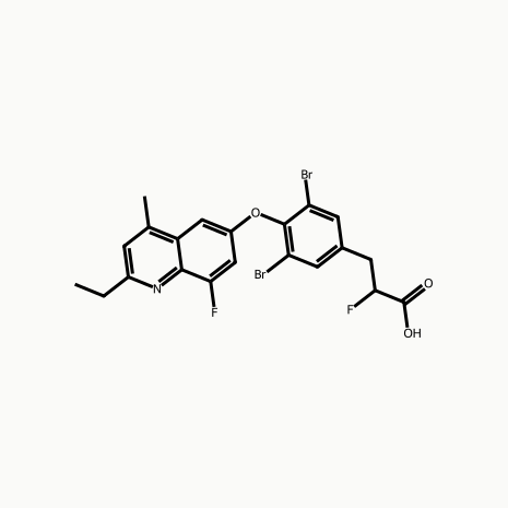 CCc1cc(C)c2cc(Oc3c(Br)cc(CC(F)C(=O)O)cc3Br)cc(F)c2n1